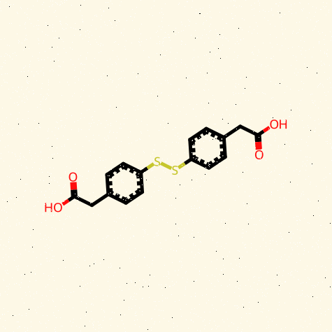 O=C(O)Cc1ccc(SSc2ccc(CC(=O)O)cc2)cc1